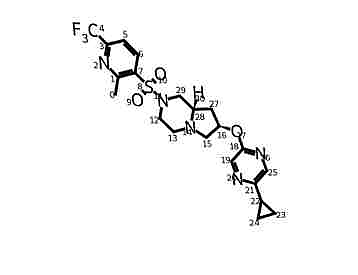 Cc1nc(C(F)(F)F)ccc1S(=O)(=O)N1CCN2C[C@H](Oc3cnc(C4CC4)cn3)C[C@H]2C1